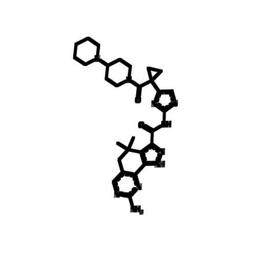 CC1(C)Cc2cnc(N)nc2-c2[nH]nc(C(=O)Nc3nc(C4(C(=O)N5CCC(N6CCCCC6)CC5)CC4)cs3)c21